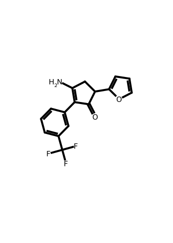 NC1=C(c2cccc(C(F)(F)F)c2)C(=O)C(c2ccco2)C1